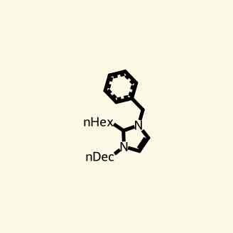 CCCCCCCCCCN1C=CN(Cc2ccccc2)C1CCCCCC